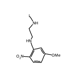 COc1ccc([N+](=O)[O-])c(NCCNI)c1